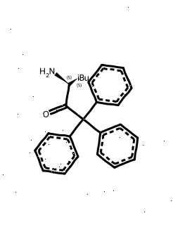 CC[C@H](C)[C@H](N)C(=O)C(c1ccccc1)(c1ccccc1)c1ccccc1